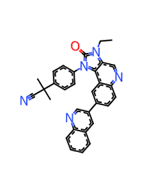 CCn1c(=O)n(-c2ccc(C(C)(C)C#N)cc2)c2c3cc(-c4cnc5ccccc5c4)ccc3ncc21